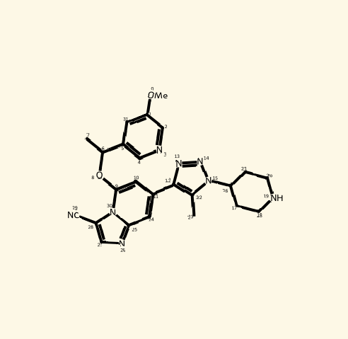 COc1cncc(C(C)Oc2cc(-c3nnn(C4CCNCC4)c3C)cc3ncc(C#N)n23)c1